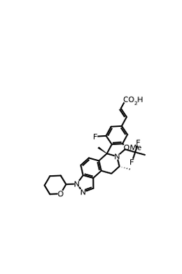 COc1cc(/C=C/C(=O)O)cc(F)c1[C@@]1(C)c2ccc3c(cnn3C3CCCCO3)c2C[C@@H](C)N1CC(C)(F)F